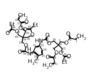 C=CC(=O)OCC(COC(=O)C=C)(COC(=O)CC)COC(=O)Nc1ccc(C)c(NC(=O)OCC(COC(=O)C=C)(COC(=O)CC)COC(=O)CC)c1